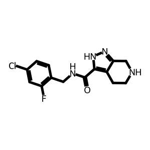 O=C(NCc1ccc(Cl)cc1F)c1[nH]nc2c1CCNC2